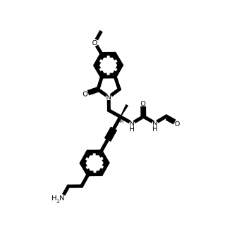 COc1ccc2c(c1)C(=O)N(C[C@@](C)(C#Cc1ccc(CCN)cc1)NC(=O)NC=O)C2